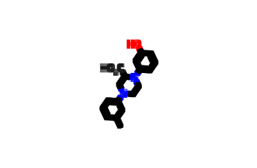 CC1C=CC=C(N2CCN(c3cccc(O)c3)C(C(=O)O)C2)C1